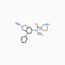 CN(C(=O)[C@@H]1CCCNC1)c1cc2c(c(-c3ccccc3)c1)CN(C#N)C2